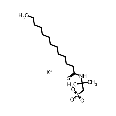 CCCCCCCCCCCCC(=S)NC(C)(C)CS(=O)(=O)[O-].[K+]